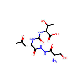 CC(=O)C[C@H](NC(=O)N[C@H](C(=O)O)C(C)O)C(=O)NNC(=O)[C@@H](N)CO